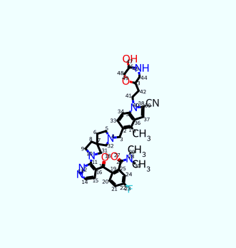 Cc1c(CN2CCC3(CCN(c4nnccc4C(=O)c4ccc(F)cc4C(=O)N(C)C)C3)C2)ccc2c1cc(C#N)n2CCC1CNC(O)CO1